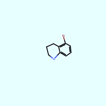 Brc1cccc2c1CCC[N]2